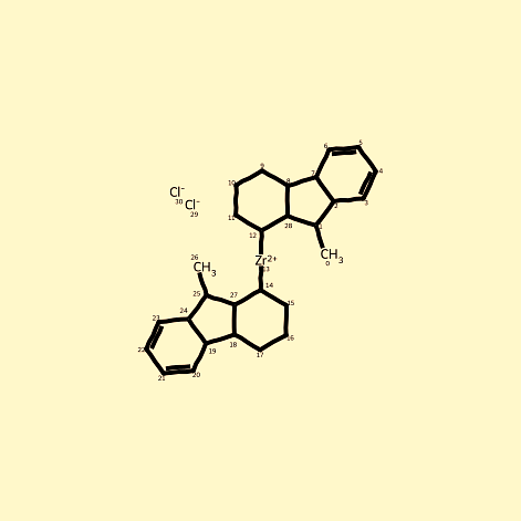 CC1C2C=CC=CC2C2CCC[CH]([Zr+2][CH]3CCCC4C5C=CC=CC5C(C)C34)C12.[Cl-].[Cl-]